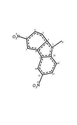 Cn1c2ccc([N+](=O)[O-])cc2c2cc([N+](=O)[O-])ccc21